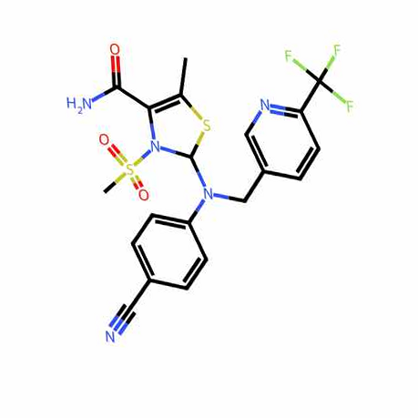 CC1=C(C(N)=O)N(S(C)(=O)=O)C(N(Cc2ccc(C(F)(F)F)nc2)c2ccc(C#N)cc2)S1